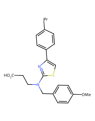 COc1ccc(CN(CCC(=O)O)c2nc(-c3ccc(C(C)C)cc3)cs2)cc1